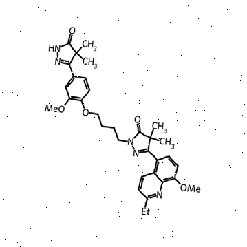 CCc1ccc2c(C3=NN(CCCCOc4ccc(C5=NNC(=O)C5(C)C)cc4OC)C(=O)C3(C)C)ccc(OC)c2n1